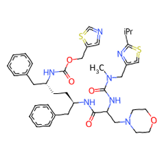 CC(C)c1nc(CN(C)C(=O)NC(CN2CCOCC2)C(=O)N[C@H](CC[C@H](Cc2ccccc2)NC(=O)OCc2cncs2)Cc2ccccc2)cs1